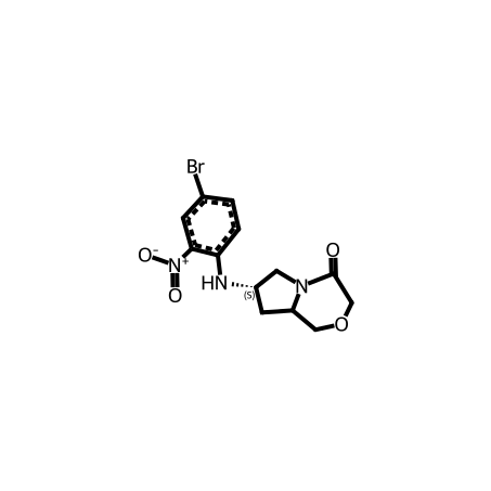 O=C1COCC2C[C@H](Nc3ccc(Br)cc3[N+](=O)[O-])CN12